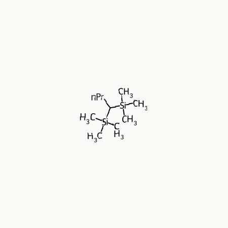 CCCC([Si](C)(C)C)[Si](C)(C)C